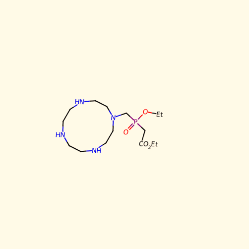 CCOC(=O)CP(=O)(CN1CCNCCNCCNCC1)OCC